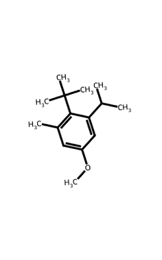 COc1cc(C)c(C(C)(C)C)c(C(C)C)c1